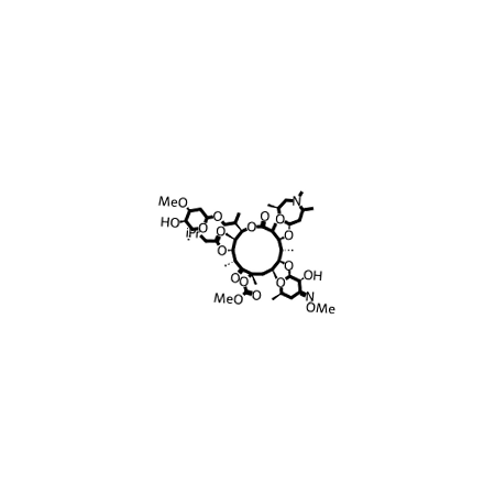 CON=C1C[C@@H](C)O[C@@H](O[C@@H]2[C@@H](C)[C@H](O[C@H]3CC(C)N(C)C[C@H](C)O3)C(C)C(=O)O[C@H](C(C)COC3C[C@H](OC)[C@H](O)[C@@H](C)O3)[C@H](C)[C@@H](OC(=O)CC(C)C)[C@@H](C)C(=O)[C@@](C)(OC(=O)OC)C[C@@H]2C)[C@@H]1O